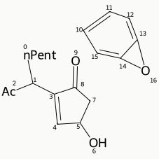 CCCCCC(C(C)=O)C1=CC(O)CC1=O.c1ccc2c(c1)O2